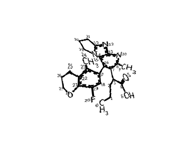 CCCC(C(=O)O)c1c(C)nc2nc3n(c2c1-c1cc(F)c2c(c1C)CCCO2)CCC3